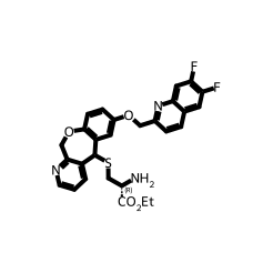 CCOC(=O)[C@@H](N)CSC1c2cc(OCc3ccc4cc(F)c(F)cc4n3)ccc2OCc2ncccc21